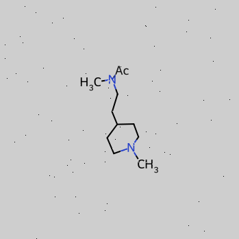 CC(=O)N(C)CCC1CCN(C)CC1